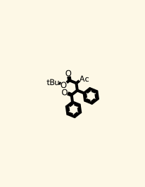 CC(=O)C(C(=O)OC(C)(C)C)C(C(=O)c1ccccc1)c1ccccc1